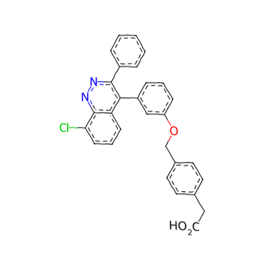 O=C(O)Cc1ccc(COc2cccc(-c3c(-c4ccccc4)nnc4c(Cl)cccc34)c2)cc1